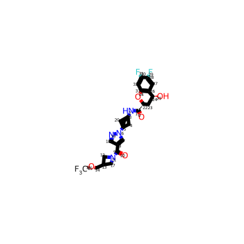 O=C(NC12CC(n3cc(C(=O)N4CC(COC(F)(F)F)C4)cn3)(C1)C2)[C@H]1C[C@@H](O)c2cc(F)c(F)cc2O1